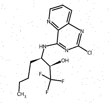 CCCC[C@@H](Nc1nc(Cl)nc2cccnc12)[C@@H](O)C(F)(F)F